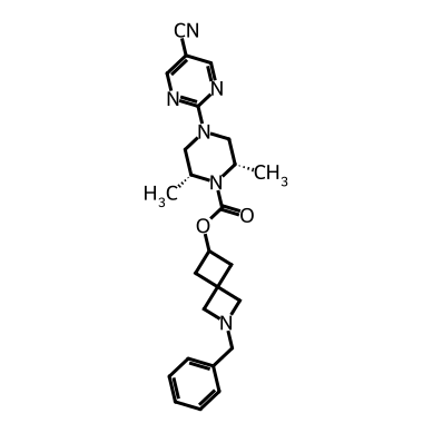 C[C@@H]1CN(c2ncc(C#N)cn2)C[C@H](C)N1C(=O)OC1CC2(C1)CN(Cc1ccccc1)C2